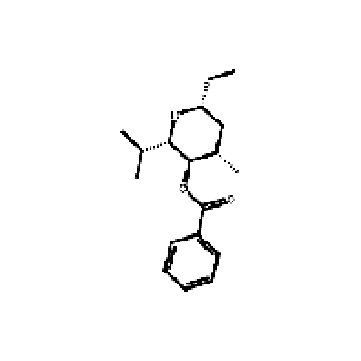 CC[C@@H]1C[C@H](C)[C@@H](OC(=O)c2ccccc2)[C@H](C(C)C)O1